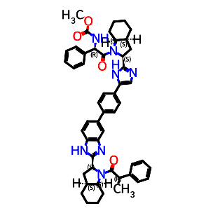 COC(=O)N[C@@H](C(=O)N1[C@H](c2ncc(-c3ccc(-c4ccc5[nH]c([C@@H]6C[C@@H]7CCCC[C@@H]7N6C(=O)[C@H](C)c6ccccc6)nc5c4)cc3)[nH]2)C[C@@H]2CCCC[C@@H]21)c1ccccc1